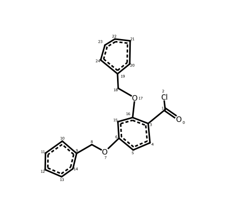 O=C(Cl)c1ccc(OCc2ccccc2)cc1OCc1ccccc1